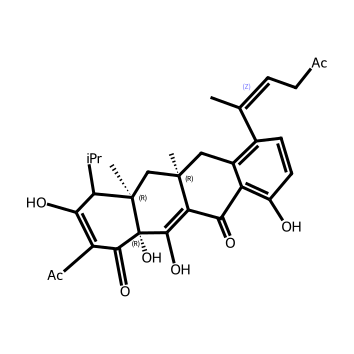 CC(=O)C/C=C(/C)c1ccc(O)c2c1C[C@]1(C)C[C@]3(C)C(C(C)C)C(O)=C(C(C)=O)C(=O)[C@]3(O)C(O)=C1C2=O